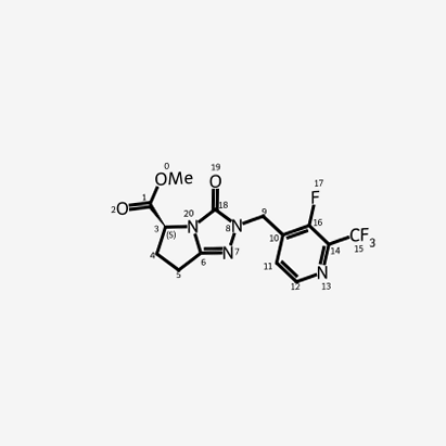 COC(=O)[C@@H]1CCc2nn(Cc3ccnc(C(F)(F)F)c3F)c(=O)n21